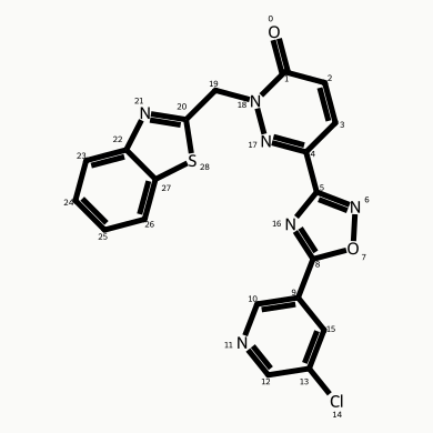 O=c1ccc(-c2noc(-c3cncc(Cl)c3)n2)nn1Cc1nc2ccccc2s1